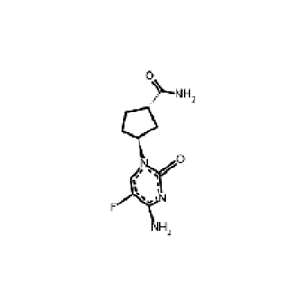 NC(=O)[C@H]1CC[C@H](n2cc(F)c(N)nc2=O)C1